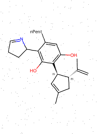 C=C(C)[C@@H]1CC(C)=C[C@H]1c1c(O)cc(CCCCC)c(C2CCC=N2)c1O